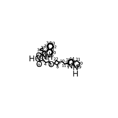 O=C(O)C(CCO[C@H]1C[C@H](CCc2ccc3c(n2)NCCC3)C1)NC(=O)C1(c2nccc3ccccc23)CC1